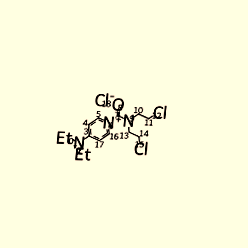 CCN(CC)c1cc[n+](C(=O)N(CCCl)CCCl)cc1.[Cl-]